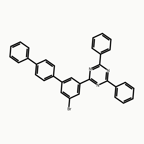 Brc1cc(-c2ccc(-c3ccccc3)cc2)cc(-c2nc(-c3ccccc3)nc(-c3ccccc3)n2)c1